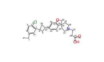 CCc1ccc(Cl)c(C2CC(c3ccc4c(c3)OCC43CCN(CCC(=O)O)CC3)C2)c1